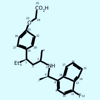 CC[C@H](CC(C)N[C@H](C)c1ccc(F)c2ccccc12)c1ccc(OCC(=O)O)cc1